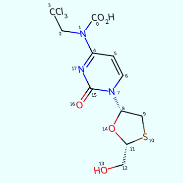 O=C(O)N(CC(Cl)(Cl)Cl)c1ccn([C@@H]2CS[C@H](CO)O2)c(=O)n1